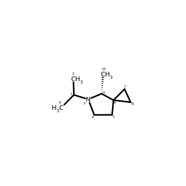 CC(C)N1CCC2(CC2)[C@H]1C